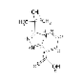 CC(C)(C)c1nnc2c(C(=O)O)cccn12